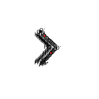 O.O.O.O.O.O.O.O.O.O.O.O.O.O.O.O.O.O.O.O.O.O.O.O.O.O.O.O.O.O.O=P([O-])([O-])[O-].O=S(=O)([O-])O.[Al+3].[Na+]